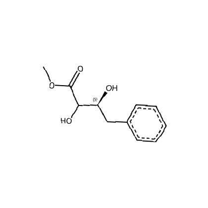 COC(=O)C(O)[C@@H](O)Cc1ccccc1